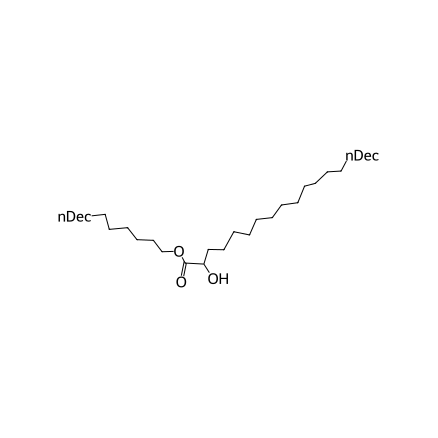 CCCCCCCCCCCCCCCCCCCCCCC(O)C(=O)OCCCCCCCCCCCCCCCC